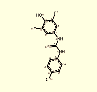 Oc1c(F)cc(NC(=S)Nc2ccc(Cl)cc2)cc1F